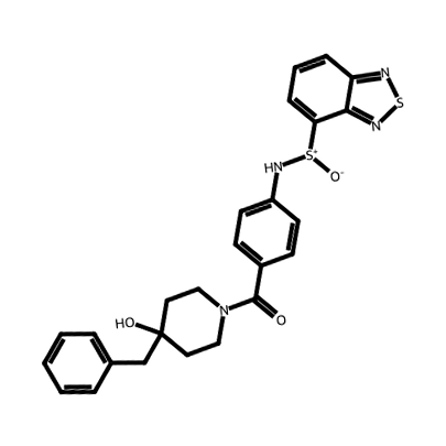 O=C(c1ccc(N[S+]([O-])c2cccc3nsnc23)cc1)N1CCC(O)(Cc2ccccc2)CC1